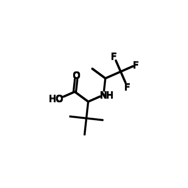 CC(NC(C(=O)O)C(C)(C)C)C(F)(F)F